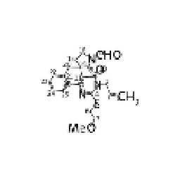 C=CCn1c(SCCOC)nc2c(c1=O)C1(CCN(C=O)C1)Cc1ccccc1-2